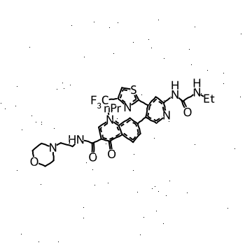 CCCn1cc(C(=O)NCCN2CCOCC2)c(=O)c2ccc(-c3cnc(NC(=O)NCC)cc3-c3nc(C(F)(F)F)cs3)cc21